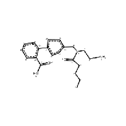 CCCCC(=O)N(CCN)Cc1ccc(-c2ccccc2C(=O)O)cc1